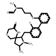 CC1CC2(COCC(=O)N2)C(Cc2cccc(-c3ccccc3OCCCN(C)C=O)c2F)N1C